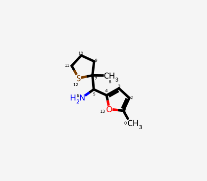 Cc1ccc(C(N)C2(C)CCCS2)o1